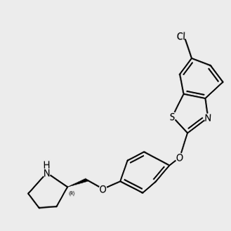 Clc1ccc2nc(Oc3ccc(OC[C@H]4CCCN4)cc3)sc2c1